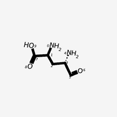 NC(C[C@H](N)C=O)C(=O)O